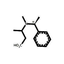 CC(CC(=O)O)N(C)[C@@H](C)c1ccccc1